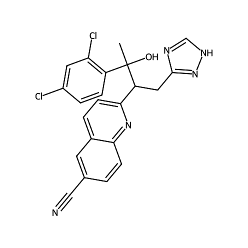 CC(O)(c1ccc(Cl)cc1Cl)C(Cc1nc[nH]n1)c1ccc2cc(C#N)ccc2n1